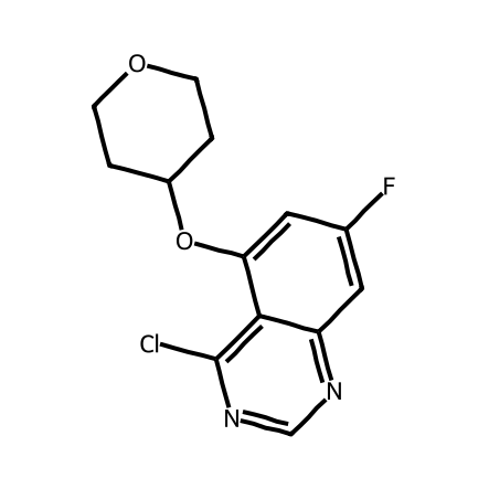 Fc1cc(OC2CCOCC2)c2c(Cl)ncnc2c1